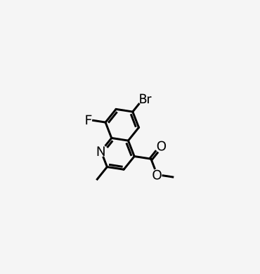 COC(=O)c1cc(C)nc2c(F)cc(Br)cc12